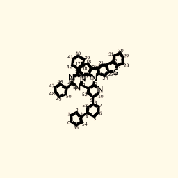 c1ccc(-c2cccc(-c3cnc(-n4c5ccccc5c5cc6c(cc54)sc4ccccc46)c(-c4nc(-c5ccccc5)nc(-c5ccccc5)n4)c3)c2)cc1